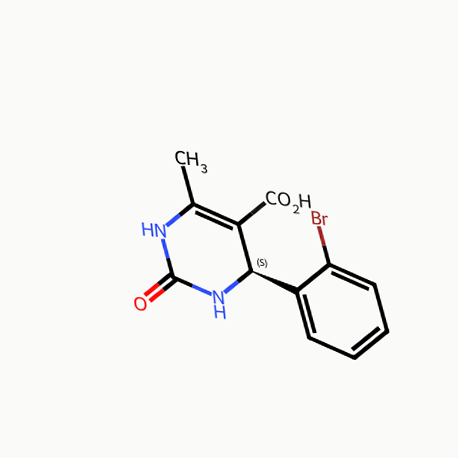 CC1=C(C(=O)O)[C@@H](c2ccccc2Br)NC(=O)N1